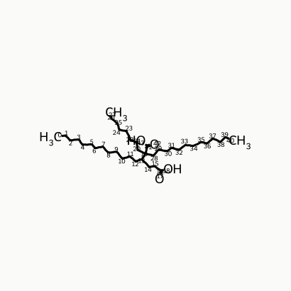 CCCCCCCCCCCCCC(CCC(=O)O)C(CCCCCCCC)(CCCCCCCCCCCCC)C(=O)O